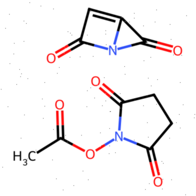 CC(=O)ON1C(=O)CCC1=O.O=C1C=C2C(=O)N12